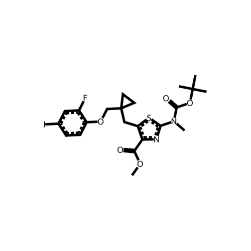 COC(=O)c1nc(N(C)C(=O)OC(C)(C)C)sc1CC1(COc2ccc(I)cc2F)CC1